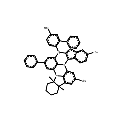 CC(C)(C)c1ccc(N2c3cc(-c4ccccc4)cc4c3B(c3cc(C(C)(C)C)cc5c3N4C3(C)CCCCC53C)c3c2sc2cc(C(C)(C)C)ccc32)c(-c2ccccc2)c1